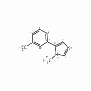 Cc1cccc(-c2cncn2C)c1